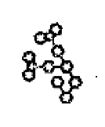 c1ccc(-c2ccccc2-c2cccc(-c3ccc(-c4ccc(-n5c6ccccc6c6ccccc65)cc4)c(-c4ccc(-n5c6ccccc6c6ccccc65)cc4)c3)c2)cc1